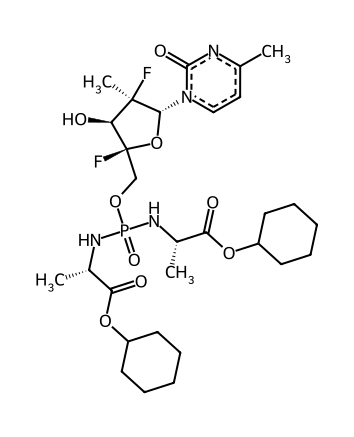 Cc1ccn([C@@H]2O[C@](F)(COP(=O)(N[C@@H](C)C(=O)OC3CCCCC3)N[C@@H](C)C(=O)OC3CCCCC3)[C@@H](O)[C@@]2(C)F)c(=O)n1